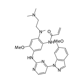 C=CC(=O)Nc1cc(Nc2nccc(-n3ncc4ccc(OC)cc43)n2)c(OC)cc1N(C)CCN(C)C